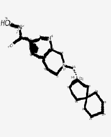 O=C(NO)c1cnc2c(c1)CCN(C[C@H]1CCC3(CCCCC3)C1)C2